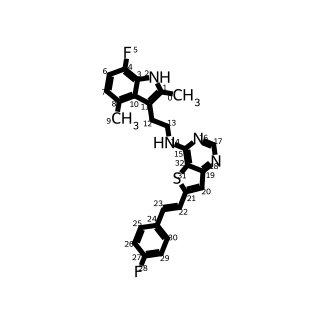 Cc1[nH]c2c(F)ccc(C)c2c1CCNc1ncnc2cc(C=Cc3ccc(F)cc3)sc12